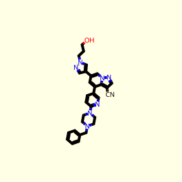 N#Cc1cnn2cc(-c3cnn(CCCO)c3)cc(-c3ccc(N4CCN(Cc5ccccc5)CC4)nc3)c12